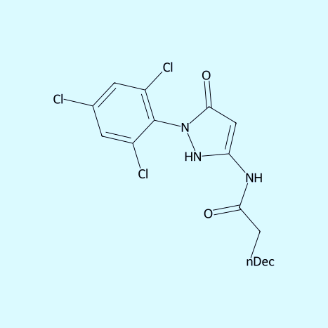 CCCCCCCCCCCC(=O)Nc1cc(=O)n(-c2c(Cl)cc(Cl)cc2Cl)[nH]1